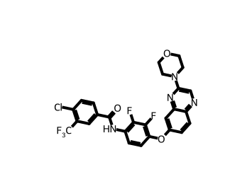 O=C(Nc1ccc(Oc2ccc3ncc(N4CCOCC4)nc3c2)c(F)c1F)c1ccc(Cl)c(C(F)(F)F)c1